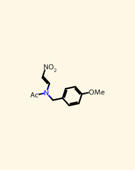 COc1ccc(CN(C=C[N+](=O)[O-])C(C)=O)cc1